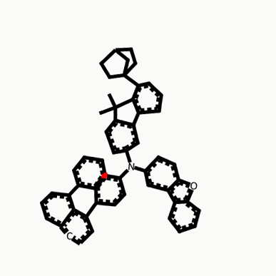 CC1(C)c2ccc(N(c3ccc(-c4cccc5cccc(-c6ccccc6)c45)cc3)c3ccc4oc5ccccc5c4c3)cc2-c2cccc(C34CCC(CC3)C4)c21